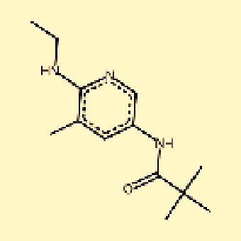 CCNc1ncc(NC(=O)C(C)(C)C)cc1C